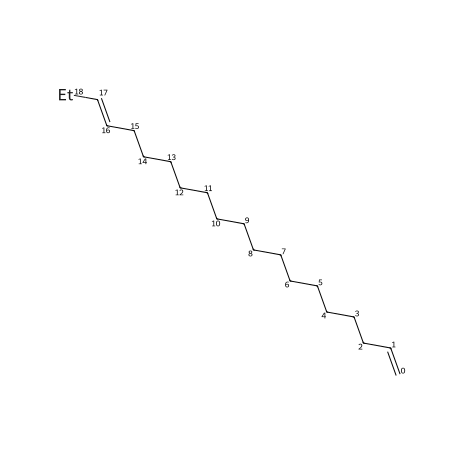 C=CCCCCCCCCCCCCCC/C=C/CC